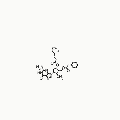 C=C1[C@H](COC(=O)Cc2ccccc2)[C@@H](OC(=O)CCCCC)C[C@@H]1n1cnc2c(=O)[nH]c(N)nc21